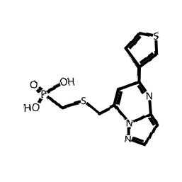 O=P(O)(O)CSCc1cc(-c2ccsc2)nc2ccnn12